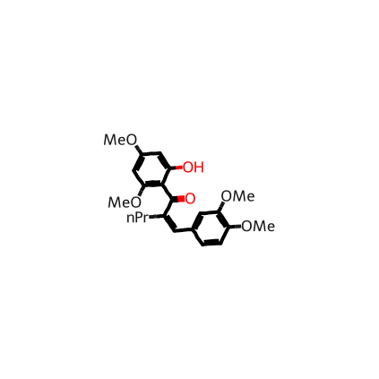 CCCC(=Cc1ccc(OC)c(OC)c1)C(=O)c1c(O)cc(OC)cc1OC